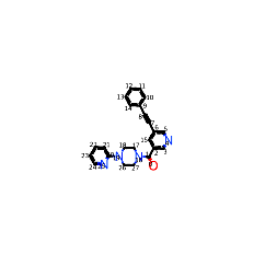 O=C(c1cncc(C#Cc2ccccc2)c1)N1CCN(c2ccccn2)CC1